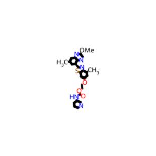 COc1cnc2c(-c3nc4c(C)cc(OCCOC(=O)Nc5cccnc5)cc4s3)cc(C)cc2n1